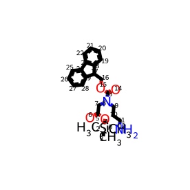 C[Si](C)(C)OC(=O)CN(CCCN)C(=O)OCC1c2ccccc2-c2ccccc21